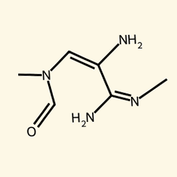 C/N=C(N)\C(N)=C/N(C)C=O